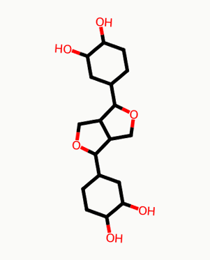 OC1CCC(C2OCC3C2COC3C2CCC(O)C(O)C2)CC1O